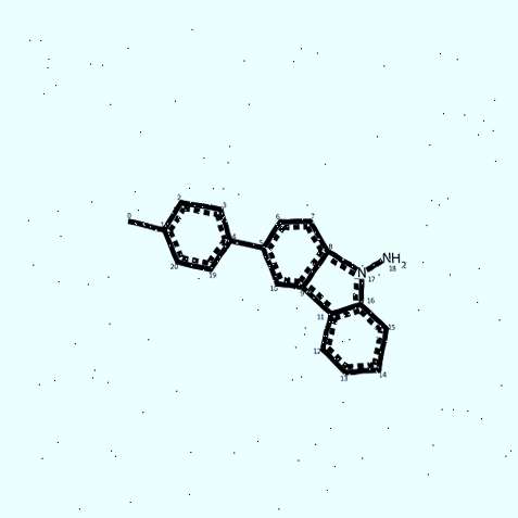 Cc1ccc(-c2ccc3c(c2)c2ccccc2n3N)cc1